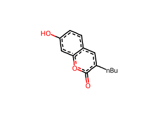 CCCCc1cc2ccc(O)cc2oc1=O